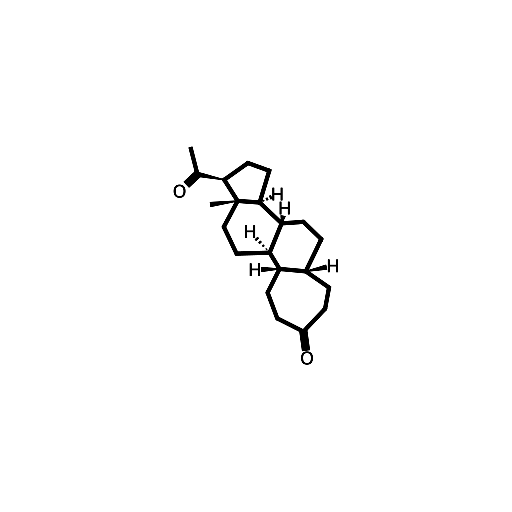 CC(=O)[C@H]1CC[C@H]2[C@@H]3CC[C@@H]4CCC(=O)CC[C@@H]4[C@H]3CC[C@]12C